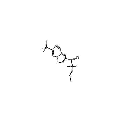 CCCC(C)(C)C(=O)c1ccc2cc(C(C)=O)ccc2c1